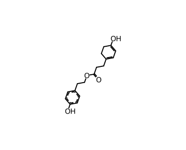 O=C(CCC1=CC=C(O)CC1)OCCc1ccc(O)cc1